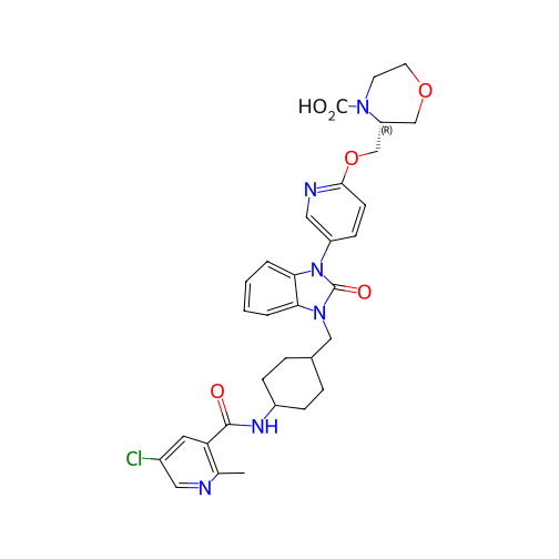 Cc1ncc(Cl)cc1C(=O)NC1CCC(Cn2c(=O)n(-c3ccc(OC[C@H]4COCCN4C(=O)O)nc3)c3ccccc32)CC1